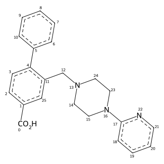 O=C(O)c1ccc(-c2ccccc2)c(CN2CCN(c3ccccn3)CC2)c1